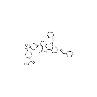 Cn1nc(-c2ccc(OCc3ccccc3)nc2OCc2ccccc2)c2cccc(N3CCC(C(C)(O)C4CCN(C(=O)O)CC4)CC3)c21